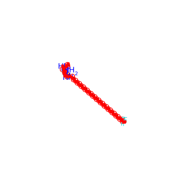 CCCN(CCCNC(=O)OC(C)(C)C)C(=O)C1=Cc2ccc(-c3cccc(S(=O)(=O)N4CC(CNC(=O)CCOCCOCCOCCOCCOCCOCCOCCOCCOCCOCCOCCOCCOCCOCCOCCOCCOCCOCCOCCOCCOCCOCCOCCOCCOCCC(=O)Oc5c(F)c(F)cc(F)c5F)C4)c3)cc2N=C(N)C1